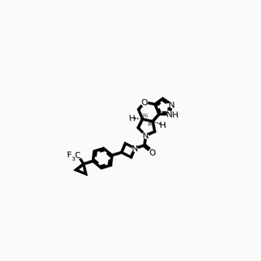 O=C(N1CC(c2ccc(C3(C(F)(F)F)CC3)cc2)C1)N1C[C@H]2COc3cn[nH]c3[C@H]2C1